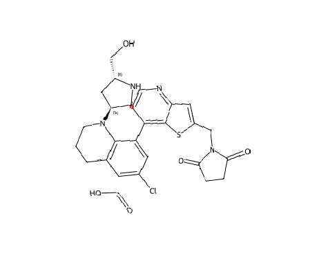 O=C1CCC(=O)N1Cc1cc2nccc(-c3cc(Cl)cc4c3N([C@@H]3CN[C@@H](CO)C3)CCC4)c2s1.O=CO